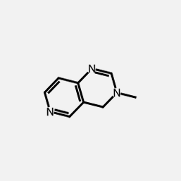 CN1C=Nc2ccncc2C1